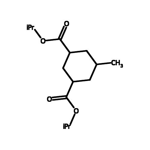 CC1CC(C(=O)OC(C)C)CC(C(=O)OC(C)C)C1